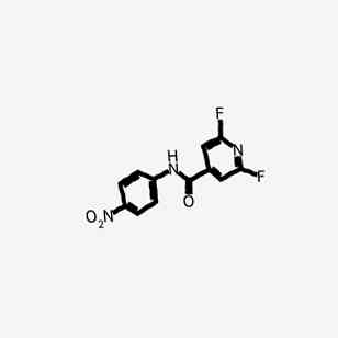 O=C(Nc1ccc([N+](=O)[O-])cc1)c1cc(F)nc(F)c1